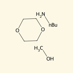 C1COCCO1.CCCCN.CO